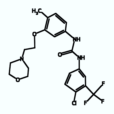 Cc1ccc(NC(=O)Nc2ccc(Cl)c(C(F)(F)F)c2)cc1OCCN1CCOCC1